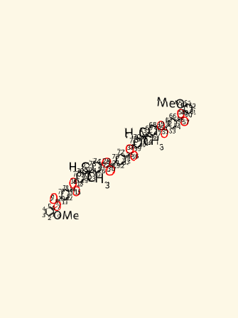 COc1ccccc1OC(=O)c1ccc(C(=O)Oc2ccc(C(C)(C)c3ccc(OC(=O)c4ccc(C(=O)Oc5ccc(C(C)(C)c6ccc(OC(=O)c7ccc(C(=O)Oc8ccccc8OC)cc7)cc6)cc5)cc4)cc3)cc2)cc1